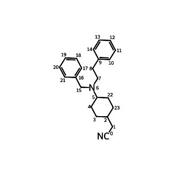 N#CCC1CCC(N(CCc2ccccc2)Cc2ccccc2)CC1